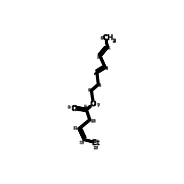 C/C=C/C=C/CCOC(=O)C/C=C\CC